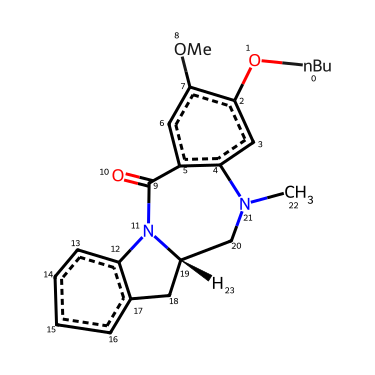 CCCCOc1cc2c(cc1OC)C(=O)N1c3ccccc3C[C@H]1CN2C